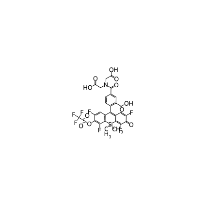 C[Si]1(C)C2=C(F)C(=O)C(F)=CC2=C(c2ccc(C(=O)N(CC(=O)O)CC(=O)O)cc2C(=O)O)c2cc(F)c(OS(=O)(=O)C(F)(F)F)c(F)c21